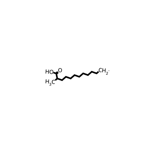 [CH2]CCCCCCCCCC(C)C(=O)O